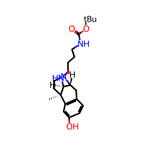 CN1CC[C@]2(C)c3cc(O)ccc3C[C@@H]1[C@@H]2NCCCCNC(=O)OC(C)(C)C